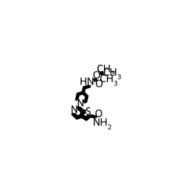 CC(C)(C)OC(=O)NCCC1CCN(c2nccc3cc(C(N)=O)sc23)CC1